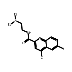 CCN(CC)CCNC(=O)c1cc(Cl)c2cc(I)ccc2n1